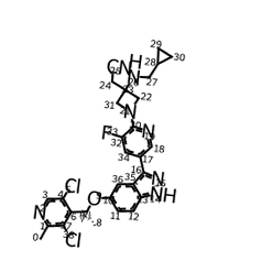 Cc1ncc(Cl)c([C@@H](C)Oc2ccc3[nH]nc(-c4cnc(N5CC(CC#N)(NCC6CC6)C5)c(F)c4)c3c2)c1Cl